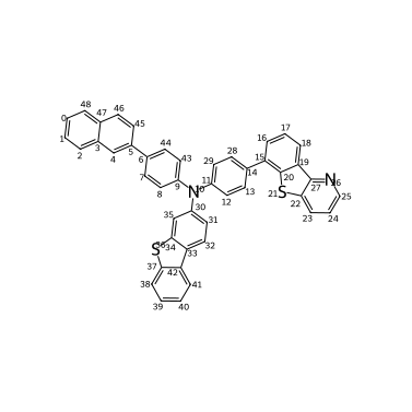 c1ccc2cc(-c3ccc(N(c4ccc(-c5cccc6c5sc5cccnc56)cc4)c4ccc5c(c4)sc4ccccc45)cc3)ccc2c1